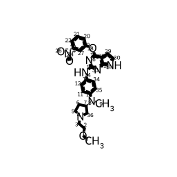 COCCN1CC[C@H](N(C)c2ccc(Nc3nc(Oc4cccc([N+](=O)[O-])c4)c4cc[nH]c4n3)cc2)C1